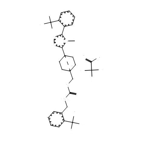 Cn1c(-c2ccccc2C(F)(F)F)nnc1C12CCC(CNC(=O)NCc3ccccc3C(F)(F)F)(CC1)CC2.O=C(O)C(F)(F)F